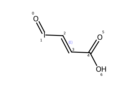 O=I/C=C/C(=O)O